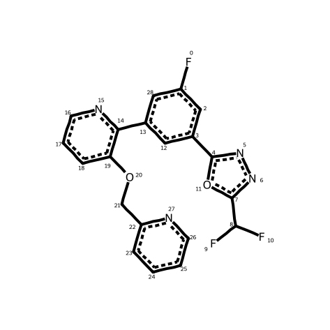 Fc1cc(-c2nnc(C(F)F)o2)cc(-c2ncccc2OCc2ccccn2)c1